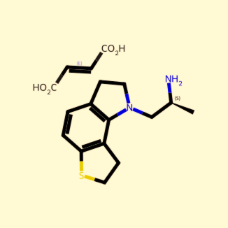 C[C@H](N)CN1CCc2ccc3c(c21)CCS3.O=C(O)/C=C/C(=O)O